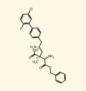 C[C@@](C[C@H](N)Cc1ccc(-c2cc(Cl)ccc2F)cc1)(C(=O)O)C(N)C(=O)OCc1ccccc1